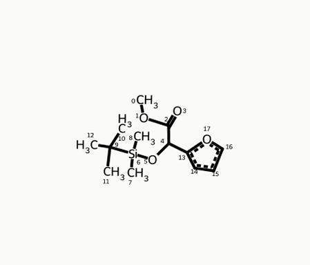 COC(=O)C(O[Si](C)(C)C(C)(C)C)c1ccco1